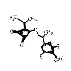 CC(C)c1c(OCC(C)c2cc(F)c(O)c(F)c2)c(=O)c1=O